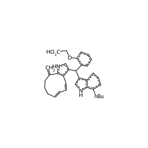 C=C1CCC/C=C/C=C\c2c(C(c3ccccc3OCC(=O)O)c3c[nH]c4c(CCCC)cccc34)c[nH]c21